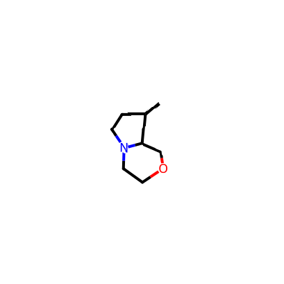 CC1CCN2CCOCC12